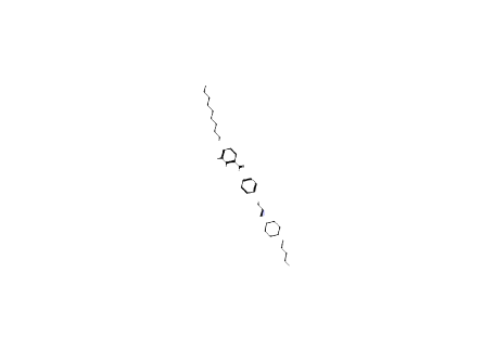 CCCCCCCCCOc1ccc(C(=O)Oc2ccc(OC/C=C/[C@H]3CC[C@H](CCCCC)CC3)cc2)c(F)c1F